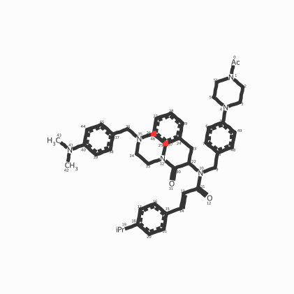 CC(=O)N1CCN(c2ccc(CN(C(=O)C=Cc3ccc(C(C)C)cc3)C(Cc3ccccc3)C(=O)N3CCN(Cc4ccc(N(C)C)cc4)CC3)cc2)CC1